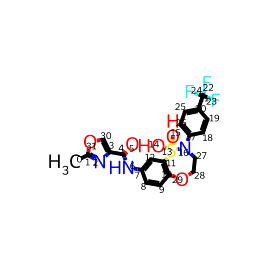 Cc1nc(C(=O)Nc2ccc3c(c2)S(O)(O)N(c2ccc(C(F)(F)F)cc2)CCO3)co1